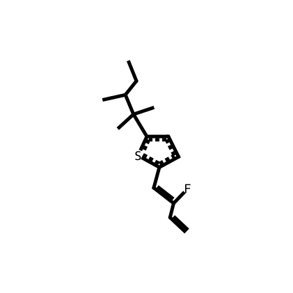 C=C/C(F)=C/c1ccc(C(C)(C)C(C)CC)s1